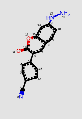 N#Cc1ccc(-c2cc3ccc(NN)cc3oc2=O)cc1